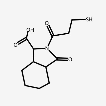 O=C(O)C1C2CCCCC2C(=O)N1C(=O)CCS